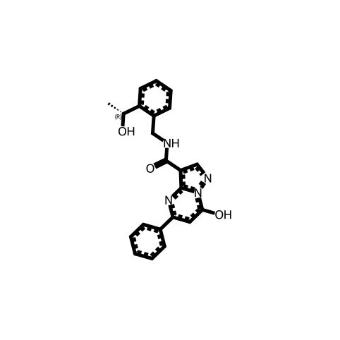 C[C@@H](O)c1ccccc1CNC(=O)c1cnn2c(O)cc(-c3ccccc3)nc12